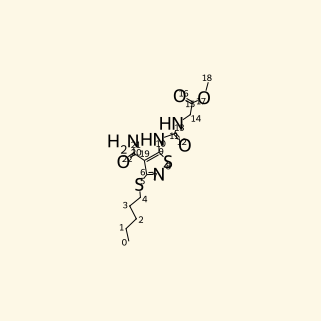 CCCCCSc1nsc(NC(=O)NCC(=O)OC)c1C(N)=O